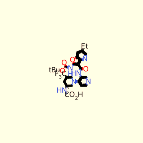 CCc1cnc2c(C(=O)Nc3cnccc3N3C[C@@H](NC(=O)O)C[C@@H](C(F)(F)F)C3)c(NC(=O)OC(C)(C)C)oc2c1